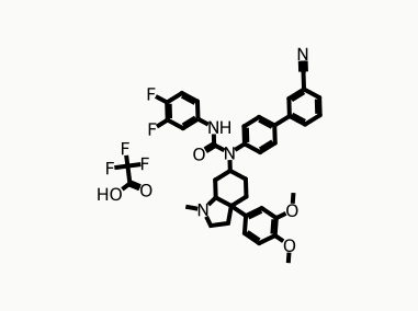 COc1ccc(C23CCC(N(C(=O)Nc4ccc(F)c(F)c4)c4ccc(-c5cccc(C#N)c5)cc4)CC2N(C)CC3)cc1OC.O=C(O)C(F)(F)F